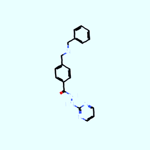 O=C(NNc1ncccn1)c1ccc(CNCc2ccccc2)cc1